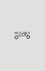 O=C(CC(C=Cc1ccccc1)C(C(=O)O)C(=O)O)c1ccccc1